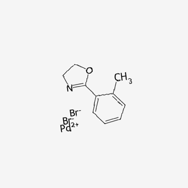 Cc1ccccc1C1=NCCO1.[Br-].[Br-].[Pd+2]